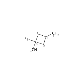 CC1CC(F)(C#N)C1